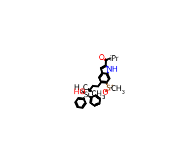 CC(C)C(=O)c1cc2cc(CCC(C)(C)[Si](O)(c3ccccc3)c3ccccc3)c([S@@+](C)[O-])cc2[nH]1